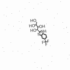 OC[C@@H](O)[C@H](O)C(O)c1nc2cc(C(F)(F)F)ccc2[nH]1